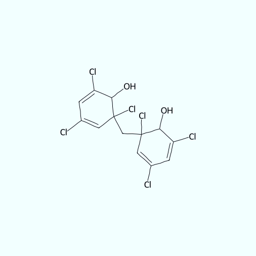 OC1C(Cl)=CC(Cl)=CC1(Cl)CC1(Cl)C=C(Cl)C=C(Cl)C1O